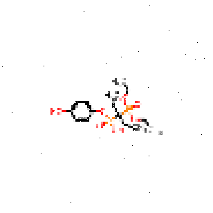 CCOP(=O)(OCC)C(CC)(CC)P(=O)(O)Oc1ccc(O)cc1